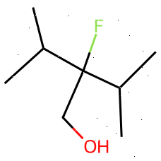 CC(C)C(F)(CO)C(C)C